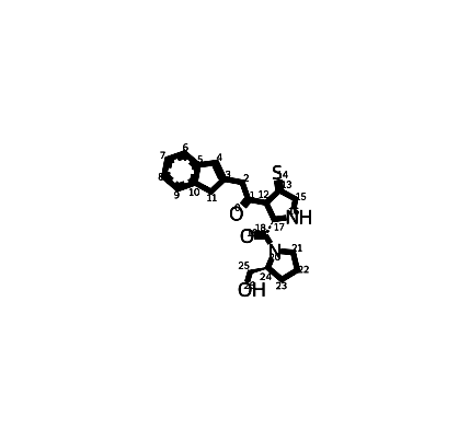 O=C(CC1=Cc2ccccc2C1)C1C(=S)CN[C@@H]1C(=O)N1CCC[C@H]1CO